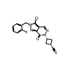 N#C[C@H]1C[C@H](n2ncc3c(Cl)n(Cc4ccccc4F)nc3c2=O)C1